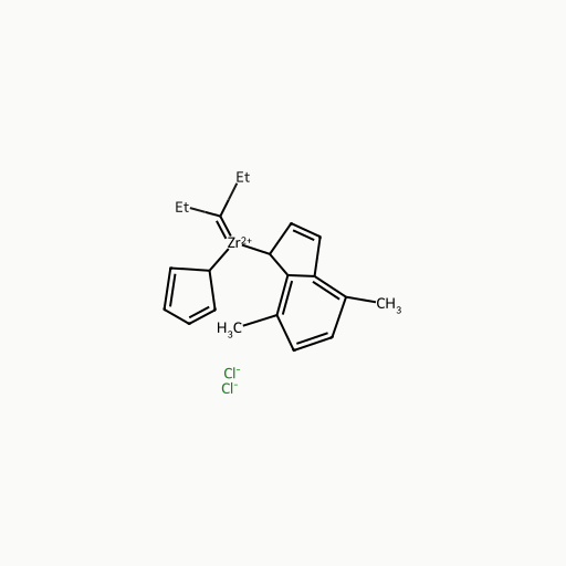 CC[C](CC)=[Zr+2]([CH]1C=CC=C1)[CH]1C=Cc2c(C)ccc(C)c21.[Cl-].[Cl-]